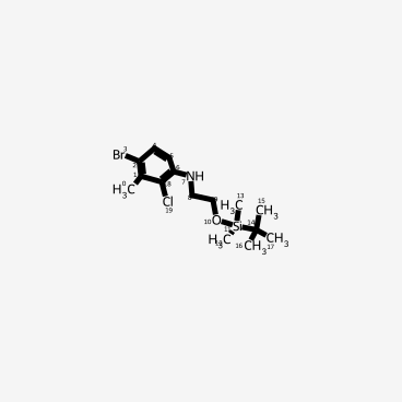 Cc1c(Br)ccc(NCCO[Si](C)(C)C(C)(C)C)c1Cl